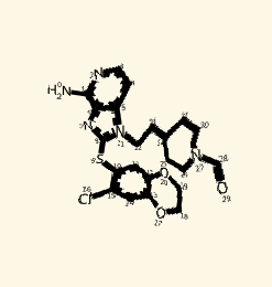 Nc1nccc2c1nc(Sc1cc3c(cc1Cl)OCCO3)n2CCC1CCN(C=O)CC1